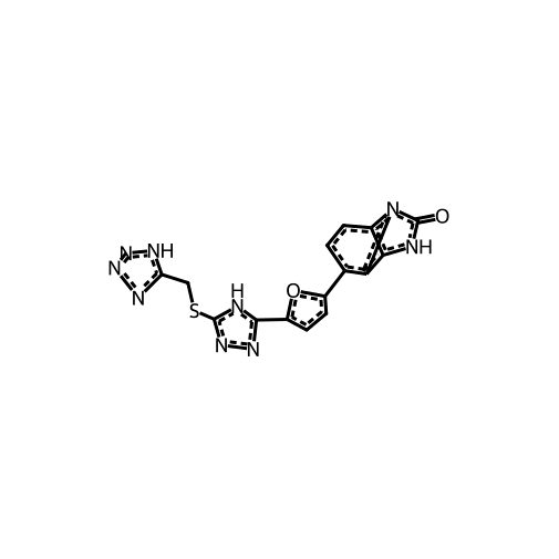 O=c1[nH]c2c3ccc(-c4ccc(-c5nnc(SCc6nnn[nH]6)[nH]5)o4)c2n13